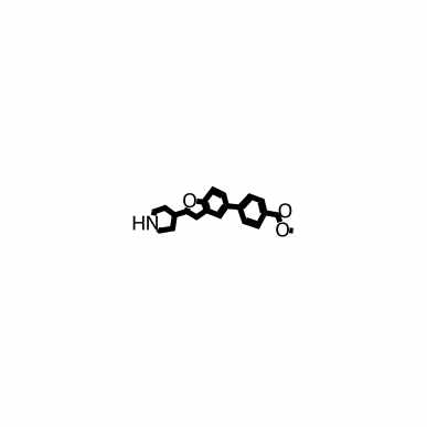 COC(=O)c1ccc(-c2ccc3c(c2)CC(C2CCNCC2)O3)cc1